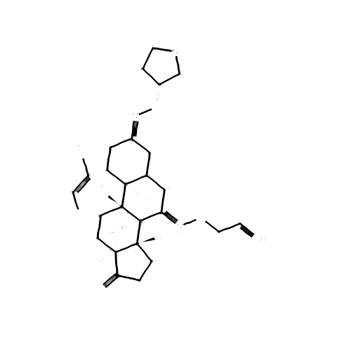 C=CCO/N=C1\CC2CC(=NO[C@@H]3CCNC3)CC[C@]2(C)[C@H]2CC[C@]3(C)C(=O)CC[C@H]3[C@H]12.O=C(O)/C=C/C(=O)O